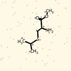 COC(=O)C(N)CSC(C)C